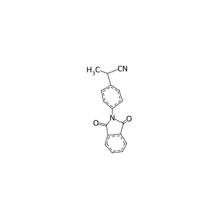 CC(C#N)c1ccc(N2C(=O)c3ccccc3C2=O)cc1